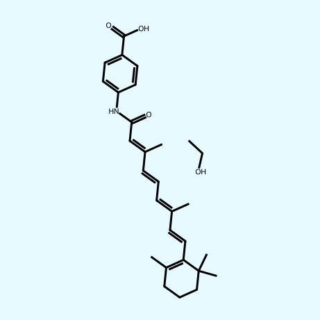 CC1=C(/C=C/C(C)=C/C=C/C(C)=C/C(=O)Nc2ccc(C(=O)O)cc2)C(C)(C)CCC1.CCO